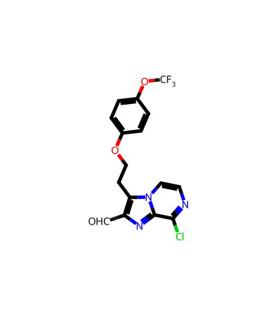 O=Cc1nc2c(Cl)nccn2c1CCOc1ccc(OC(F)(F)F)cc1